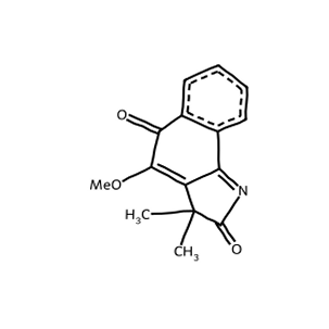 COC1=C2C(=NC(=O)C2(C)C)c2ccccc2C1=O